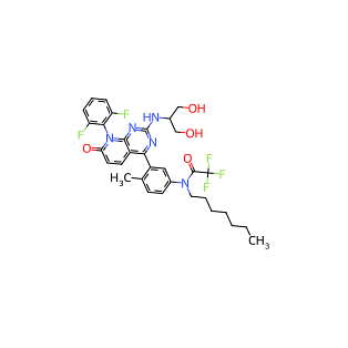 CCCCCCCN(C(=O)C(F)(F)F)c1ccc(C)c(-c2nc(NC(CO)CO)nc3c2ccc(=O)n3-c2c(F)cccc2F)c1